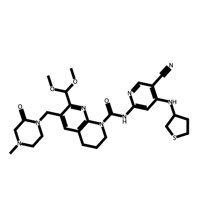 COC(OC)c1nc2c(cc1CN1CCN(C)CC1=O)CCCN2C(=O)Nc1cc(NC2CCSC2)c(C#N)cn1